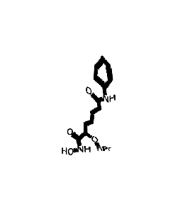 CCCOC(CCCCC(=O)Nc1ccccc1)C(=O)NO